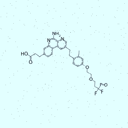 Cc1cc(OCCOCCC(F)(F)P=O)ccc1CCc1cnc2c(N)nc3cc(CCC(=O)O)ccc3c2c1